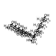 C[N+](C)(C)CCO.C[N+](C)(C)CCO.C[N+](C)(C)CCO.C[N+](C)(C)CCO.C[N+](C)(C)CCO.C[N+](C)(C)CCO.C[N+](C)(C)CCO.N=C(N)NCCC[C@H](N)C(=O)[O-].O=C([O-])CC(O)(CC(=O)[O-])C(=O)[O-].O=C([O-])CC(O)(CC(=O)[O-])C(=O)[O-]